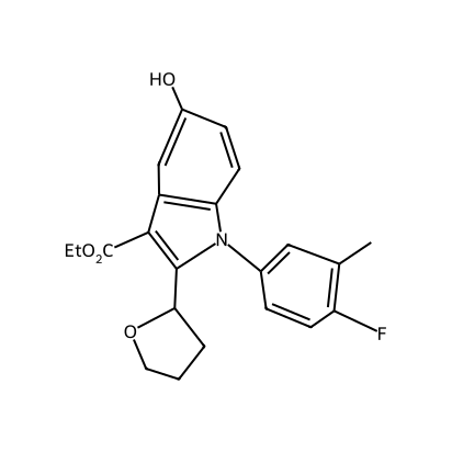 CCOC(=O)c1c(C2CCCO2)n(-c2ccc(F)c(C)c2)c2ccc(O)cc12